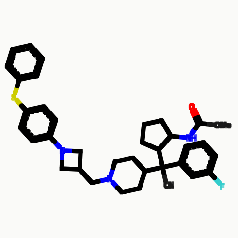 COC(=O)NC1CCCC1C(C#N)(c1cccc(F)c1)C1CCN(CC2CN(c3ccc(Sc4ccccc4)cc3)C2)CC1